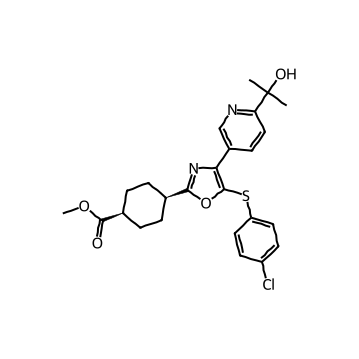 COC(=O)[C@H]1CC[C@@H](c2nc(-c3ccc(C(C)(C)O)nc3)c(Sc3ccc(Cl)cc3)o2)CC1